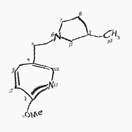 COc1ccc(CN2CCC(C)C2)cn1